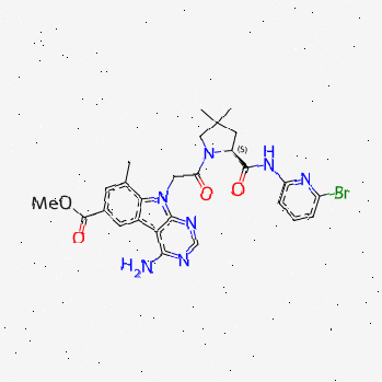 COC(=O)c1cc(C)c2c(c1)c1c(N)ncnc1n2CC(=O)N1CC(C)(C)C[C@H]1C(=O)Nc1cccc(Br)n1